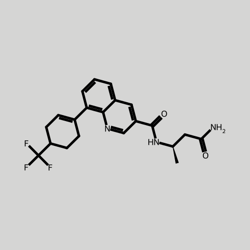 C[C@H](CC(N)=O)NC(=O)c1cnc2c(C3=CCC(C(F)(F)F)CC3)cccc2c1